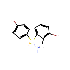 O=[SH]1(c2ccc(Br)cc2)N[Se]c2c(Br)cccc21